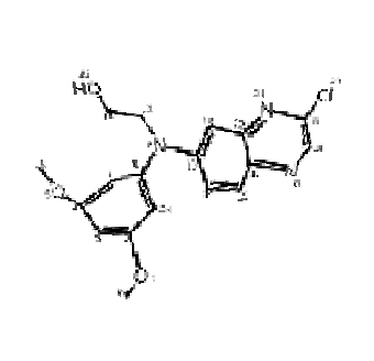 COc1cc(OC)cc(N(CCO)c2ccc3ncc(Cl)nc3c2)c1